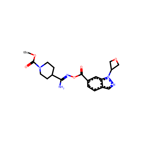 CC(C)(C)OC(=O)N1CCC(/C(N)=N/OC(=O)c2ccc3cnn(C4COC4)c3c2)CC1